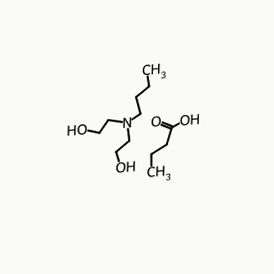 CCCC(=O)O.CCCCN(CCO)CCO